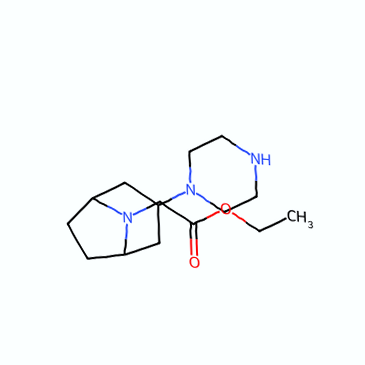 CCOC(=O)CN1C2CCC1CC(N1CCNCC1)C2